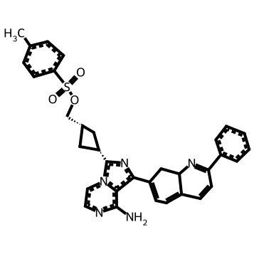 Cc1ccc(S(=O)(=O)OC[C@H]2C[C@@H](c3nc(C4=CC=C5C=CC(c6ccccc6)=NC5C4)c4c(N)nccn43)C2)cc1